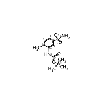 Cc1ccc(S(N)(=O)=O)cc1NC(=O)OC(C)(C)C